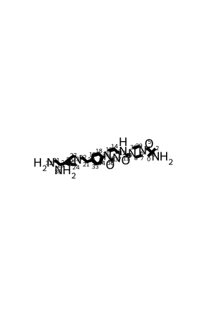 CC(C)(N)C(=O)N1CCN(C(=O)Nc2ccn(-c3ccc(CCN4CC5C(C4)C5C(N)CN)cc3)c(=O)n2)CC1